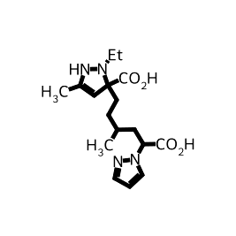 CCN1NC(C)=CC1(CCC(C)CC(C(=O)O)n1cccn1)C(=O)O